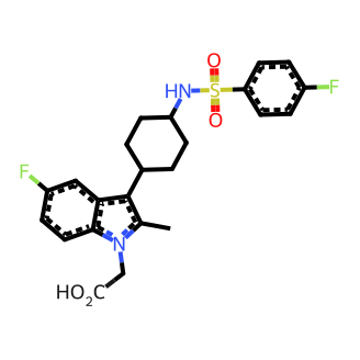 Cc1c(C2CCC(NS(=O)(=O)c3ccc(F)cc3)CC2)c2cc(F)ccc2n1CC(=O)O